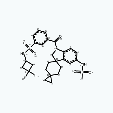 CS(=O)(=O)Nc1ccc2c(c1)C1(CCC3(CC3)CC1)CN2C(=O)c1cccc(S(=O)(=O)NC2CC(F)(F)C2)c1